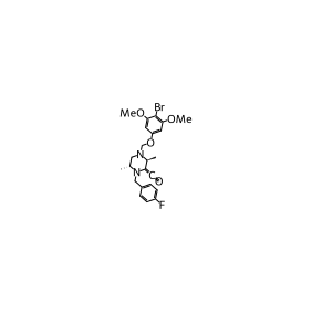 COc1cc(OCN2C[C@@H](C)N(Cc3ccc(F)cc3)C(=C=O)[C@@H]2C)cc(OC)c1Br